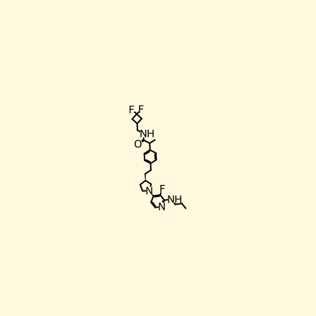 CCCNc1nccc(N2CC[C@@H](CCc3ccc(C(C)C(=O)NCC4CC(F)(F)C4)cc3)C2)c1F